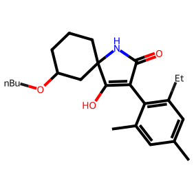 CCCCOC1CCCC2(C1)NC(=O)C(c1c(C)cc(C)cc1CC)=C2O